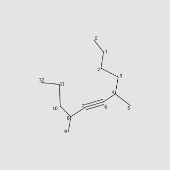 CCCCC(C)C#CC(C)CCC